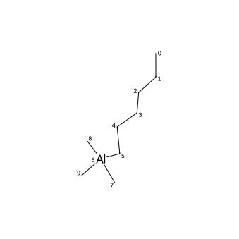 CCCCC[CH2][Al-]([CH3])([CH3])[CH3]